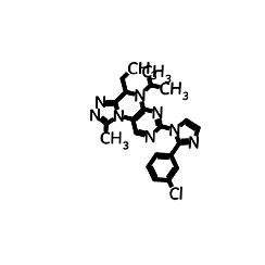 CCC1c2nnc(C)n2-c2cnc(-n3ccnc3-c3cccc(Cl)c3)nc2N1C(C)C